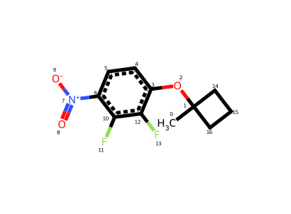 CC1(Oc2ccc([N+](=O)[O-])c(F)c2F)CCC1